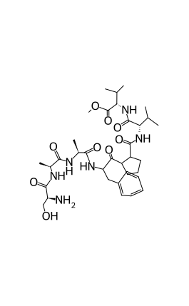 COC(=O)[C@@H](NC(=O)[C@@H](NC(=O)C1CCCC1C(=O)C(Cc1ccccc1)NC(=O)[C@H](C)NC(=O)[C@H](C)NC(=O)[C@@H](N)CO)C(C)C)C(C)C